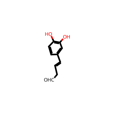 O=CCC=Cc1ccc(O)c(O)c1